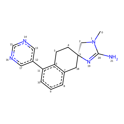 CN1C[C@]2(CCc3c(cccc3-c3cncnc3)C2)N=C1N